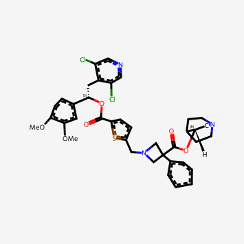 COc1ccc([C@H](Cc2c(Cl)cncc2Cl)OC(=O)c2ccc(CN3CC(C(=O)O[C@H]4CN5CCC4CC5)(c4ccccc4)C3)s2)cc1OC